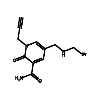 C#CCn1cc(CNCC(C)C)cc(C(N)=O)c1=O